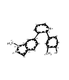 Cc1cc(-c2ncccc2-c2ccc3cnn(C)c3c2)ccc1F